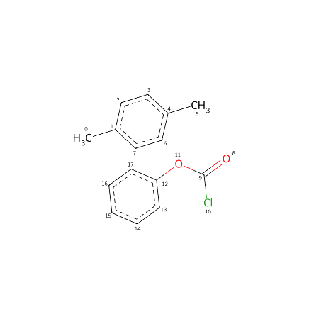 Cc1ccc(C)cc1.O=C(Cl)Oc1ccccc1